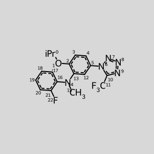 CC(C)Oc1ccc(-n2nnnc2C(F)(F)F)cc1N(C)c1[c]cccc1F